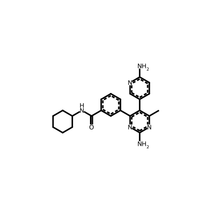 Cc1nc(N)nc(-c2cccc(C(=O)NC3CCCCC3)c2)c1-c1ccc(N)nc1